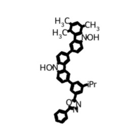 CC1=CC(C)c2c(c3cc(-c4ccc5c(c4)c4cc(-c6cc(-c7nnc(-c8ccccc8)o7)cc(C(C)C)c6)ccc4n5O)ccc3n2O)C1C